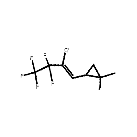 CC1(C)CC1C=C(Cl)C(F)(F)C(F)(F)F